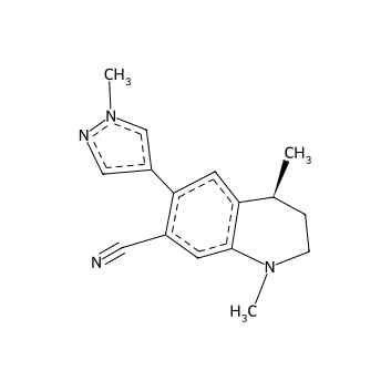 C[C@H]1CCN(C)c2cc(C#N)c(-c3cnn(C)c3)cc21